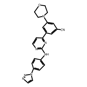 N#Cc1cc(-c2ccnc(Nc3ccc(-n4ccnn4)cc3)n2)cc(N2CCOCC2)c1